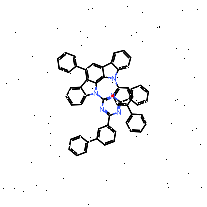 c1ccc(-c2ccc(-n3c4ccccc4c4cc(-c5ccccc5)c5c6ccccc6n(-c6nc(-c7ccccc7)nc(-c7cccc(-c8ccccc8)c7)n6)c5c43)cc2)cc1